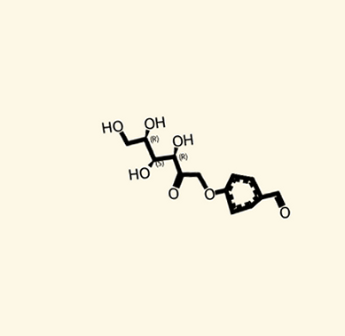 O=Cc1ccc(OCC(=O)[C@H](O)[C@@H](O)[C@H](O)CO)cc1